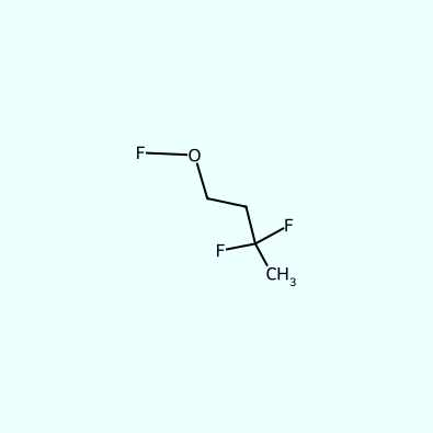 CC(F)(F)CCOF